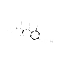 Cc1cc(S(=O)(=O)O)ccc1NC(=O)NN